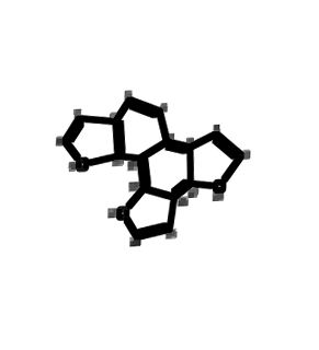 c1cc2c3ccc4ccoc4c3c3occc3c2o1